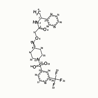 CC(NC(=O)CON=C1CCN(S(=O)(=O)c2cccc(C(F)(F)F)c2)CC1)c1ccccc1